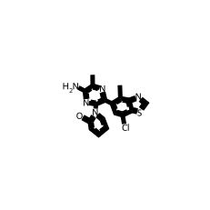 Cc1nc(-c2cc(Cl)c3scnc3c2C)c(-n2ccccc2=O)nc1N